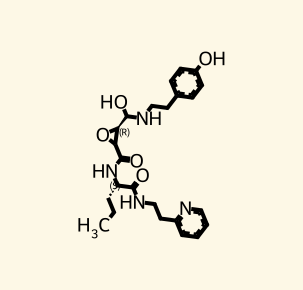 CCC[C@H](NC(=O)C1O[C@H]1C(O)NCCc1ccc(O)cc1)C(=O)NCCc1ccccn1